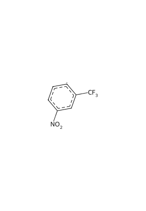 O=[N+]([O-])c1cc[c]c(C(F)(F)F)c1